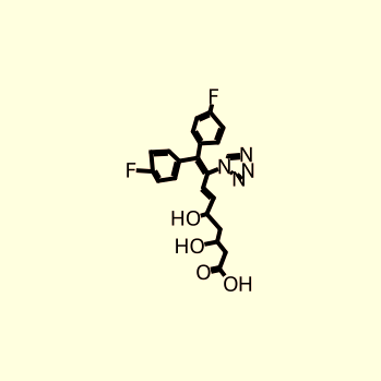 O=C(O)CC(O)CC(O)/C=C/C(=C(c1ccc(F)cc1)c1ccc(F)cc1)n1cnnn1